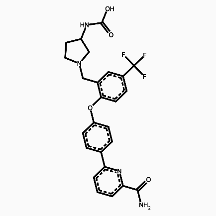 NC(=O)c1cccc(-c2ccc(Oc3ccc(C(F)(F)F)cc3CN3CCC(NC(=O)O)C3)cc2)n1